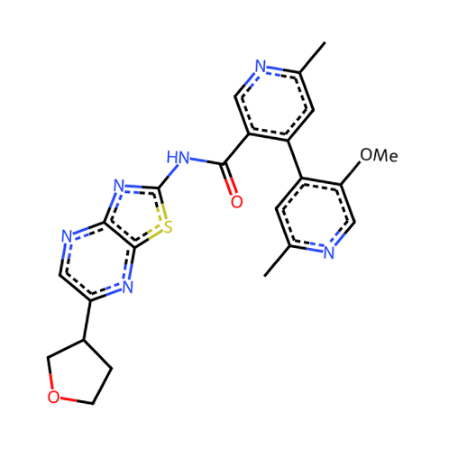 COc1cnc(C)cc1-c1cc(C)ncc1C(=O)Nc1nc2ncc(C3CCOC3)nc2s1